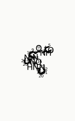 O=C(NC1CCOC1)c1ccc2c(n1)N(C(=O)Nc1ccccn1)C1CCN2C1